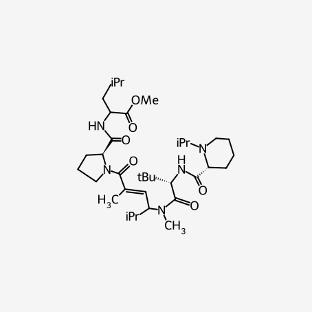 COC(=O)C(CC(C)C)NC(=O)[C@@H]1CCCN1C(=O)/C(C)=C/C(C(C)C)N(C)C(=O)[C@@H](NC(=O)[C@H]1CCCCN1C(C)C)C(C)(C)C